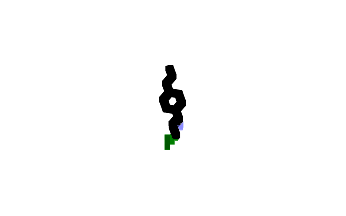 CCCC1CCC(/C=C/CF)CC1